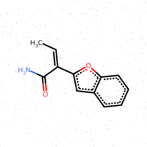 C/C=C(\C(N)=O)c1cc2ccccc2o1